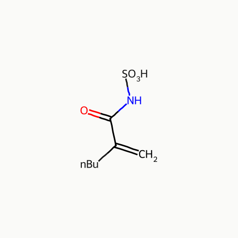 C=C(CCCC)C(=O)NS(=O)(=O)O